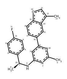 Cc1nc(N[C@@H](C)c2ccc(F)cc2)cc(-c2ccc3occ(C)c3c2)n1